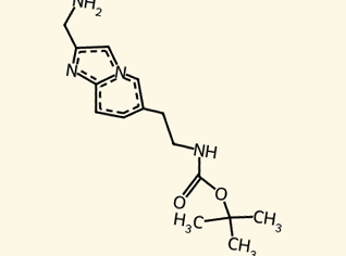 CC(C)(C)OC(=O)NCCc1ccc2nc(CN)cn2c1